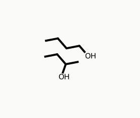 CCC(C)O.CCCCO